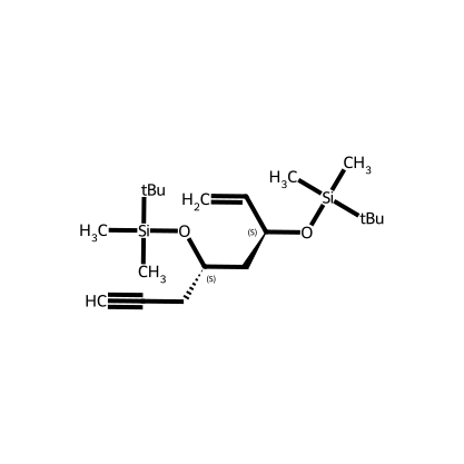 C#CC[C@@H](C[C@@H](C=C)O[Si](C)(C)C(C)(C)C)O[Si](C)(C)C(C)(C)C